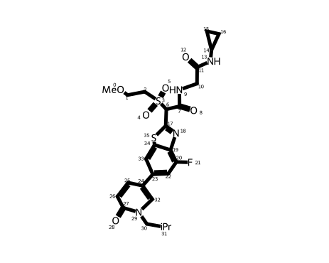 COCCS(=O)(=O)C(C(=O)NCC(=O)NC1CC1)c1nc2c(F)cc(-c3ccc(=O)n(CC(C)C)c3)cc2s1